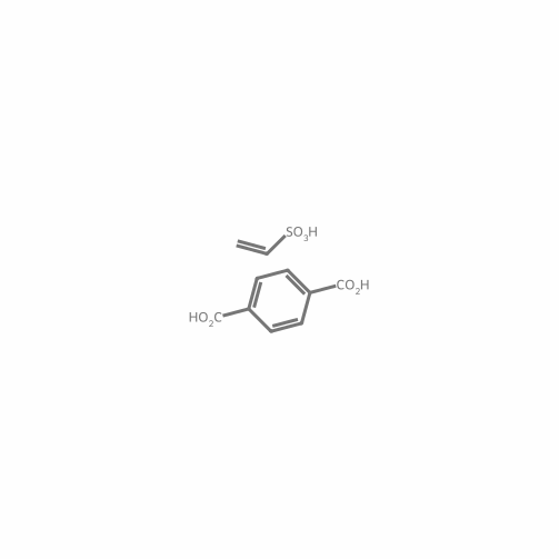 C=CS(=O)(=O)O.O=C(O)c1ccc(C(=O)O)cc1